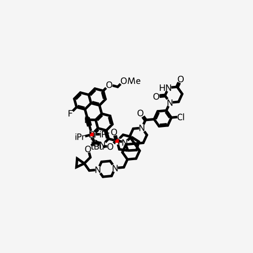 COCOc1cc(-c2ccc3c(N4CC5CCC(C4)N5C(=O)OC(C)(C)C)nc(OCC4(CN5CCN(CC6CCC7(CC6)CCN(C(=O)c6ccc(Cl)c(N8CCC(=O)NC8=O)c6)CC7)CC5)CC4)nc3c2F)c2c(C#C[Si](C(C)C)(C(C)C)C(C)C)c(F)ccc2c1